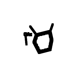 COC(C)=O.Cc1ccccc1C